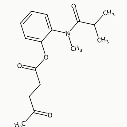 CC(=O)CCC(=O)Oc1ccccc1N(C)C(=O)C(C)C